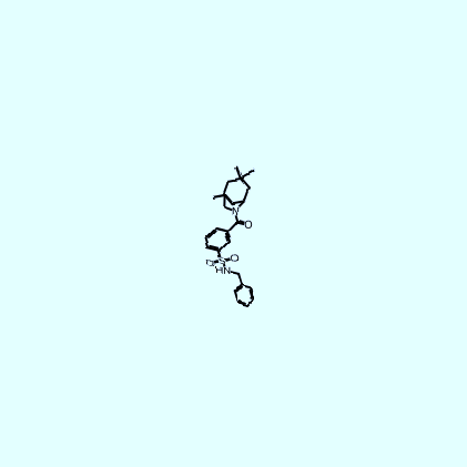 CC1(C)CC2CC(C)(CN2C(=O)c2cccc(S(=O)(=O)NCc3ccccc3)c2)C1